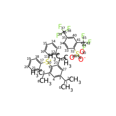 CC(C)c1cc(C(C)C)c([S+](c2ccccc2)c2ccccc2)c(C(C)C)c1.O=S(=O)([O-])c1ccc(C(F)(F)F)cc1C(F)(F)F